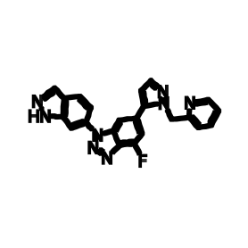 Fc1cc(-c2ccnn2Cc2ccccn2)cc2c1nnn2-c1ccc2cn[nH]c2c1